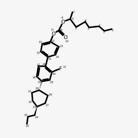 CCCCCCC(C)OC(=O)Oc1ccc(-c2ccc([C@H]3CC[C@H](CCC)CC3)cc2F)cc1